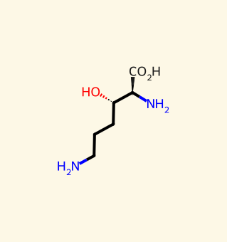 NCCC[C@H](O)[C@H](N)C(=O)O